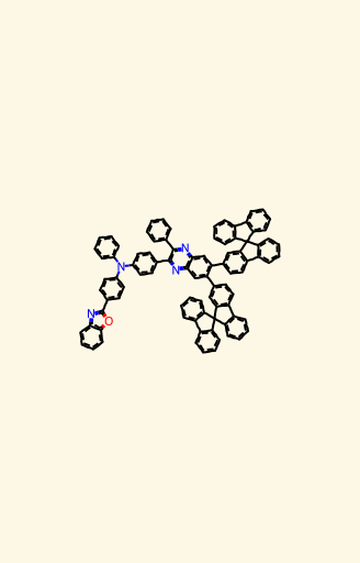 c1ccc(-c2nc3cc(-c4ccc5c(c4)C4(c6ccccc6-c6ccccc64)c4ccccc4-5)c(-c4ccc5c(c4)C4(c6ccccc6-c6ccccc64)c4ccccc4-5)cc3nc2-c2ccc(N(c3ccccc3)c3ccc(-c4nc5ccccc5o4)cc3)cc2)cc1